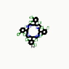 Clc1ccc(Cl)c(-c2c3nc(c(-c4c(Cl)ccc(Cl)c4Cl)c4ccc([nH]4)c(-c4c(Cl)ccc(Cl)c4Cl)c4nc(c(-c5c(Cl)ccc(Cl)c5Cl)c5ccc2[nH]5)C=C4)C=C3)c1Cl.[Fe]